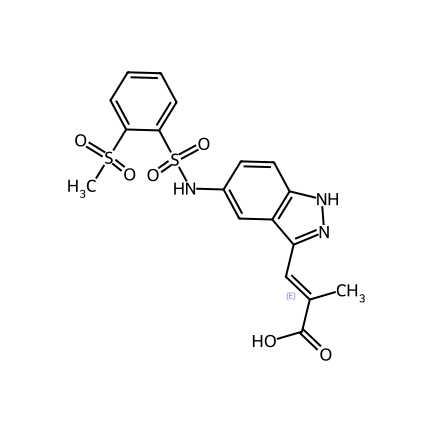 C/C(=C\c1n[nH]c2ccc(NS(=O)(=O)c3ccccc3S(C)(=O)=O)cc12)C(=O)O